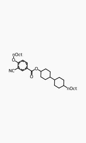 CCCCCCCCOc1ccc(C(=O)OC2CCC(C3CCC(CCCCCCCC)CC3)CC2)cc1C#N